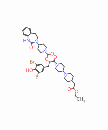 CCOC(=O)CC1CCN(C2CCN(C(=O)[C@@H](Cc3cc(Br)c(O)c(Br)c3)OC(=O)N3CCC(N4CCc5ccccc5NC4=O)CC3)CC2)CC1